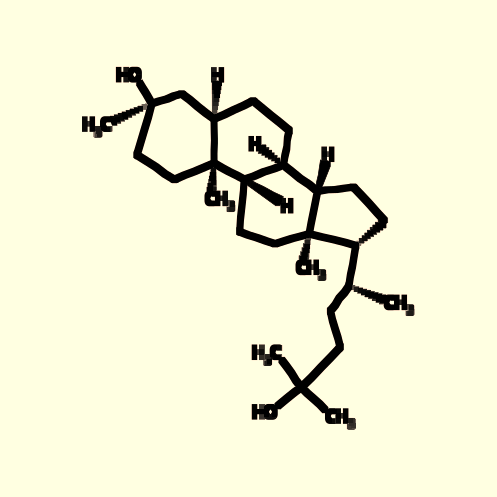 C[C@H](CCC(C)(C)O)[C@H]1CC[C@H]2[C@@H]3CC[C@@H]4C[C@](C)(O)CC[C@]4(C)[C@H]3CC[C@]12C